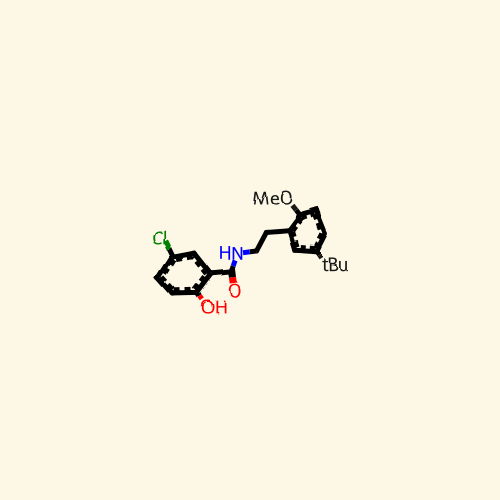 COc1ccc(C(C)(C)C)cc1CCNC(=O)c1cc(Cl)ccc1O